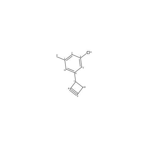 Cc1cc(Cl)cc(C2C#CC2)c1